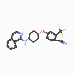 N#Cc1ccc(O[C@H]2CC[C@H](Nc3nccc4ccccc34)CC2)cc1C(F)(F)F